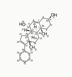 C[C@]12CC[C@H](O)CC1=C[C@@H](O)[C@@H]1[C@@H]2CC[C@]2(C)C(c3ccccc3)=CC[C@@H]12